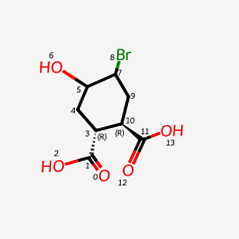 O=C(O)[C@@H]1CC(O)C(Br)C[C@H]1C(=O)O